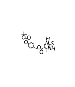 CC1=C(C(=O)OCc2ccc(OC(=O)OC(C)(C)C)cc2)CNC(=S)N1